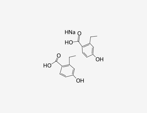 CCc1cc(O)ccc1C(=O)O.CCc1cc(O)ccc1C(=O)O.[NaH]